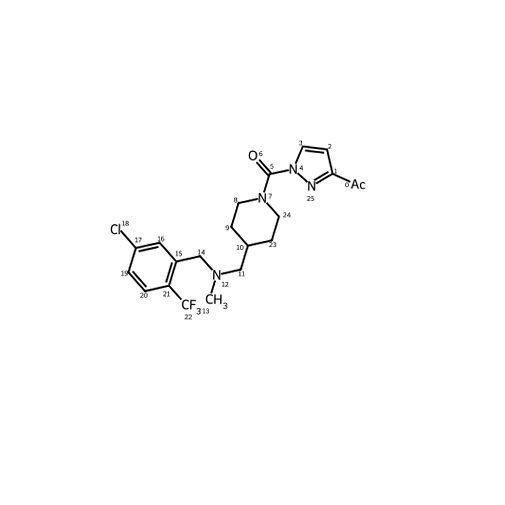 CC(=O)c1ccn(C(=O)N2CCC(CN(C)Cc3cc(Cl)ccc3C(F)(F)F)CC2)n1